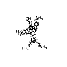 CCCCOC(=O)CN(CCN(CC(=O)OCCCC)C[C@H](Cc1ccc(OCC)cc1)N(CC(=O)OCCCC)CC(=O)OCCCC)CC(=O)OCCCC